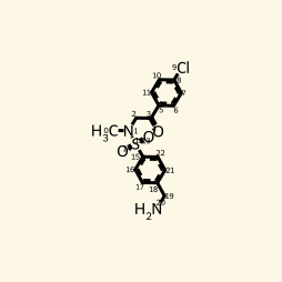 CN(CC(=O)c1ccc(Cl)cc1)S(=O)(=O)c1ccc(CN)cc1